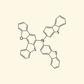 c1ccc2c(c1)oc1c2cc(N(c2ccc3c(c2)sc2ccccc23)c2ccc3c(c2)sc2ccccc23)c2sc3ccccc3c21